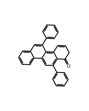 O=C1CC=Cc2c1c(-c1ccccc1)cc1c2c(-c2ccccc2)cc2ccccc21